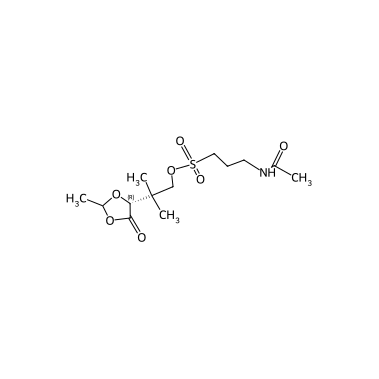 CC(=O)NCCCS(=O)(=O)OCC(C)(C)[C@H]1OC(C)OC1=O